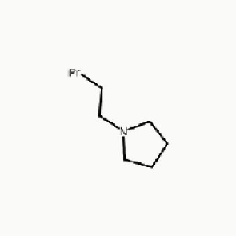 CC(C)CCN1CCCC1